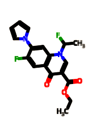 CCOC(=O)c1cn(C(C)F)c2cc(-n3cccc3)c(F)cc2c1=O